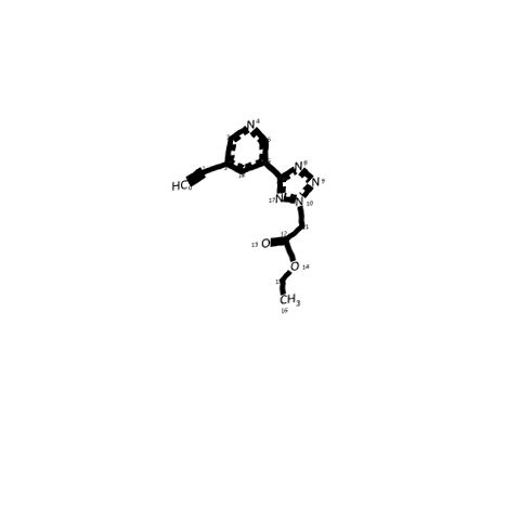 C#Cc1cncc(-c2nnn(CC(=O)OCC)n2)c1